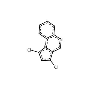 Clc1cc(Cl)n2c1cnc1ccccc12